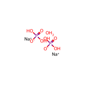 O.O=P([O-])(O)O.O=P([O-])(O)O.[Na+].[Na+]